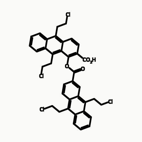 O=C(Oc1c(C(=O)O)ccc2c(CCCl)c3ccccc3c(CCCl)c12)c1ccc2c(CCCl)c3ccccc3c(CCCl)c2c1